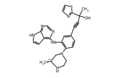 C[C@H]1CN(c2ccc(C#CC(C)(O)c3nccs3)cc2Nc2ncnc3[nH]ccc23)CCN1